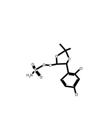 CC1(C)OC(COS(N)(=O)=O)C(c2ccc(Cl)cc2Cl)O1